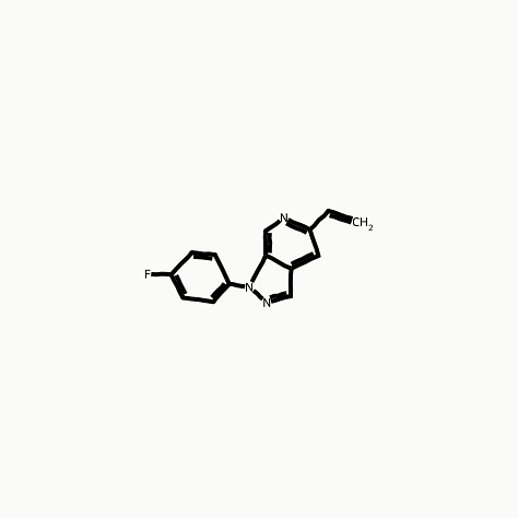 C=Cc1cc2cnn(-c3ccc(F)cc3)c2cn1